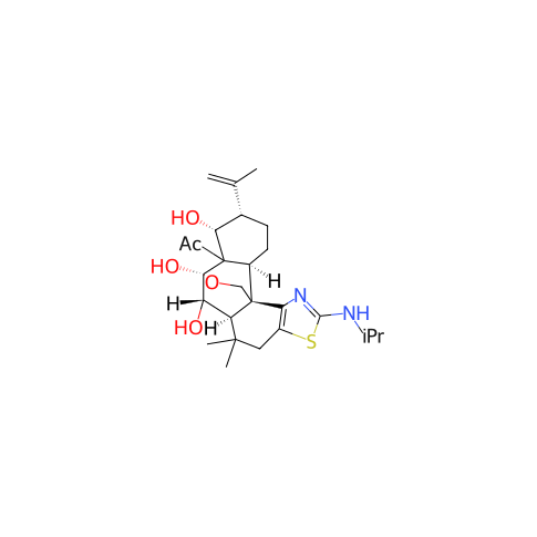 C=C(C)[C@@H]1CC[C@@H]2C(C(C)=O)([C@@H]1O)[C@@]1(O)OC[C@]23c2nc(NC(C)C)sc2CC(C)(C)[C@H]3[C@@H]1O